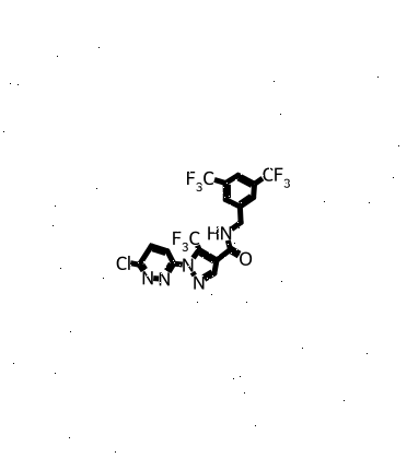 O=C(NCc1cc(C(F)(F)F)cc(C(F)(F)F)c1)c1cnn(-c2ccc(Cl)nn2)c1C(F)(F)F